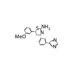 COc1cccc([C@@H]2C[C@@H](c3cccc(-c4cncnc4)c3)N=C(N)S2)c1